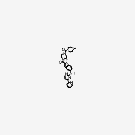 CN1CCN(C(=O)N2CCN(C(=O)c3cc4cc(Nc5nccc(-c6ccccn6)n5)ccc4[nH]3)CC2)CC1